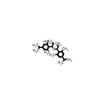 C=CC(OC(C=C)c1c(C)cc(C(=C)C)cc1C)c1c(C)cc(C(=C)C)cc1C